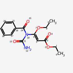 CCOC(=O)C=C(OCC)N(C(N)=O)C(=O)c1ccccc1